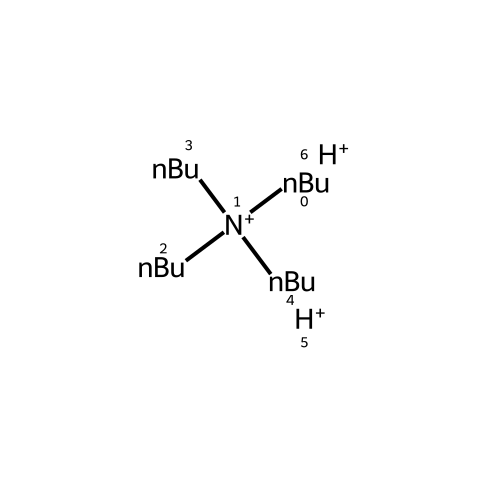 CCCC[N+](CCCC)(CCCC)CCCC.[H+].[H+]